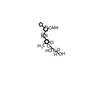 COc1cc(-c2nc(-c3cc(C)c(OC[C@@H](O)CNC(=O)CO)c(Cl)c3)no2)cc(C2CCCC2)n1